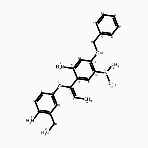 C/C=C(/Oc1ccc(N)c(CC)c1)c1cc(N(C)C)c(OCc2ccccc2)cc1N